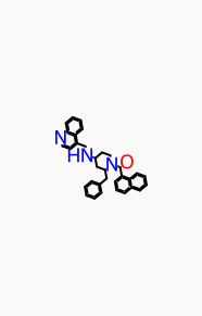 O=C(c1cccc2ccccc12)N1CCC(NCc2ccnc3ccccc23)CC1Cc1ccccc1